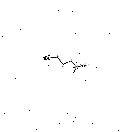 CCCCCCCN(I)CCC